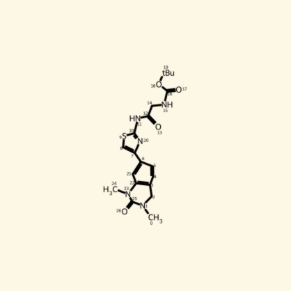 CN1Cc2ccc(-c3csc(NC(=O)CNC(=O)OC(C)(C)C)n3)cc2N(C)C1=O